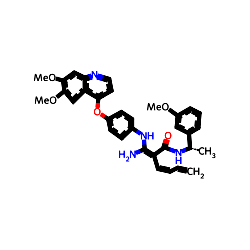 C=C/C=C\C(C(=O)N[C@@H](C)c1cccc(OC)c1)=C(/N)Nc1ccc(Oc2ccnc3cc(OC)c(OC)cc23)cc1